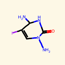 NC1NC(=O)N(N)C=C1I